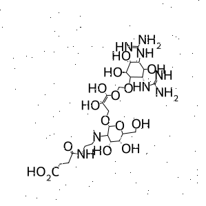 CN(CCNC(=O)CCC(=O)O)C1C(OC/C(O)=C(/O)OCOC2[C@@H](NC(=N)N)C(O)C(NC(=N)N)[C@H](O)[C@@H]2O)OC(CO)[C@H](O)[C@@H]1O